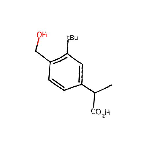 CC(C(=O)O)c1ccc(CO)c(C(C)(C)C)c1